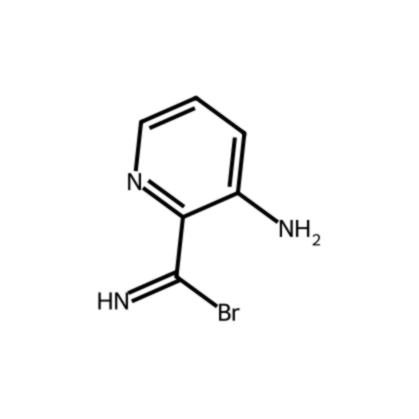 N=C(Br)c1ncccc1N